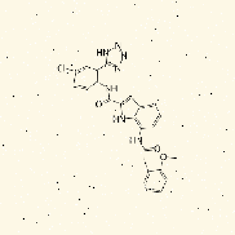 COc1ccccc1CC(=O)Nc1cccc2cc(C(=O)Nc3ccc(Cl)cc3-c3nnn[nH]3)[nH]c12